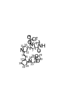 O=C1NCCc2c1cc(-c1ccnc(C=Cc3ccccc3N3CCC4(CC3)OCCO4)c1)n2OC(=O)C(F)(F)F